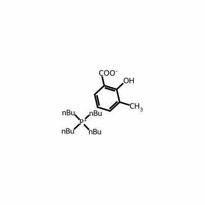 CCCC[P+](CCCC)(CCCC)CCCC.Cc1cccc(C(=O)[O-])c1O